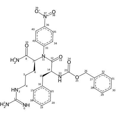 N=C(N)NCCC[C@@H](C(N)=O)N(C(=O)[C@H](Cc1ccccc1)NC(=O)OCc1ccccc1)c1ccc([N+](=O)[O-])cc1